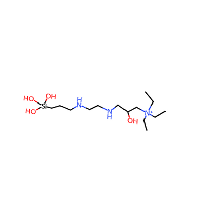 CC[N+](CC)(CC)CC(O)CNCCNCCC[Si](O)(O)O